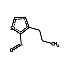 CCCc1ccsc1[C]=O